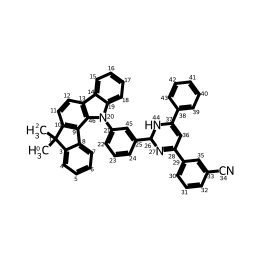 CC1(C)c2ccccc2-c2c1ccc1c3ccccc3n(-c3cccc(C4N=C(c5cccc(C#N)c5)C=C(c5ccccc5)N4)c3)c21